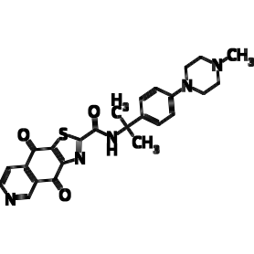 CN1CCN(c2ccc(C(C)(C)NC(=O)c3nc4c(s3)C(=O)c3ccncc3C4=O)cc2)CC1